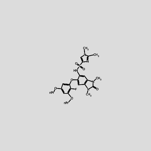 CCCOc1cc(OCCC)c(F)c(Oc2cc3c(cc2NS(=O)(=O)c2cn(C)c(C)n2)n(C)c(=O)n3C)c1